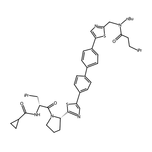 CCCCN(Cc1ncc(-c2ccc(-c3ccc(-c4cnc([C@@H]5CCCN5C(=O)[C@@H](CC(C)C)NC(=O)C5CC5)s4)cc3)cc2)s1)C(=O)CCC(C)C